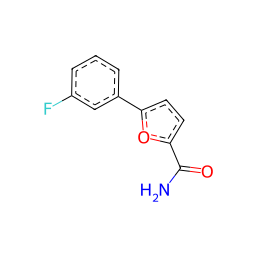 NC(=O)c1ccc(-c2cccc(F)c2)o1